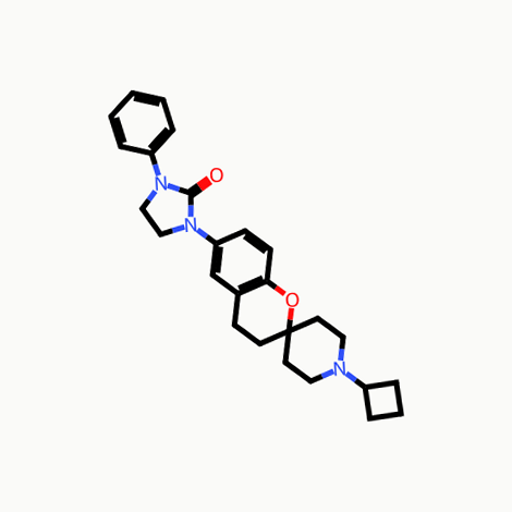 O=C1N(c2ccccc2)CCN1c1ccc2c(c1)CCC1(CCN(C3CCC3)CC1)O2